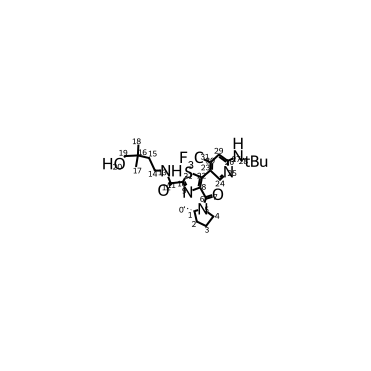 C[C@H]1CCCN1C(=O)c1nc(C(=O)NCCC(C)(C)CO)sc1-c1cnc(NC(C)(C)C)cc1C(F)(F)F